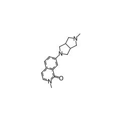 CN1CC2CN(c3ccc4ccn(C)c(=O)c4c3)CC2C1